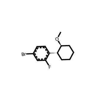 CO[C@H]1CCCC[C@@H]1c1ccc(Br)cc1F